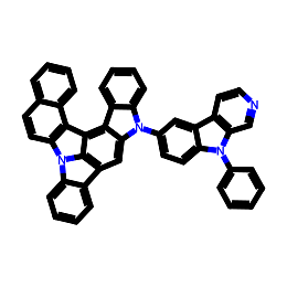 c1ccc(-n2c3ccc(-n4c5ccccc5c5c6c7c8ccccc8ccc7n7c8ccccc8c(cc54)c67)cc3c3ccncc32)cc1